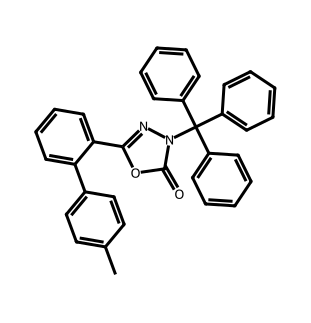 Cc1ccc(-c2ccccc2-c2nn(C(c3ccccc3)(c3ccccc3)c3ccccc3)c(=O)o2)cc1